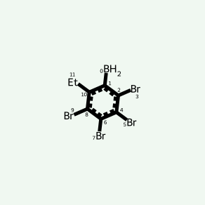 Bc1c(Br)c(Br)c(Br)c(Br)c1CC